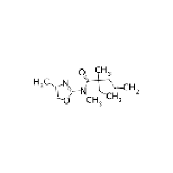 C=CCC(C)(CC)C(=O)N(C)c1nc(C)co1